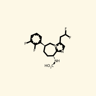 O=C(O)N[C@@H]1CC[C@@H](c2cccc(F)c2F)Cn2c(CC(F)F)cnc21